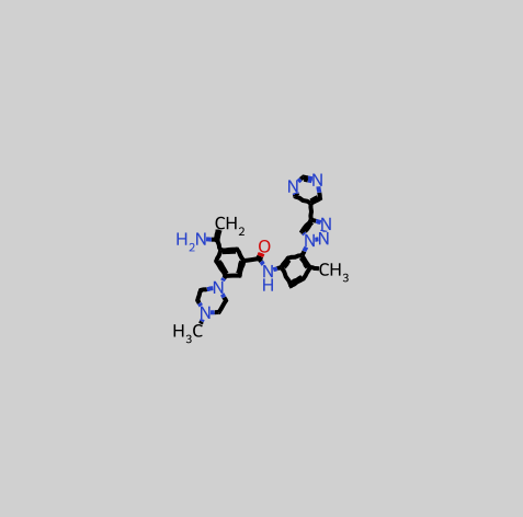 C=C(N)c1cc(C(=O)Nc2ccc(C)c(-n3cc(-c4cncnc4)nn3)c2)cc(N2CCN(C)CC2)c1